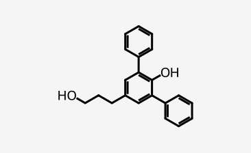 OCCCc1cc(-c2ccccc2)c(O)c(-c2ccccc2)c1